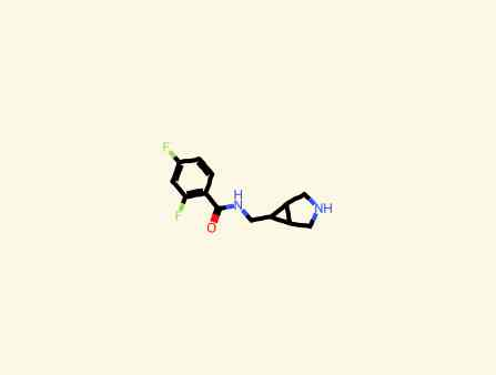 O=C(NCC1C2CNCC21)c1ccc(F)cc1F